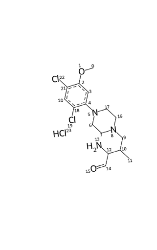 COc1cc(N2CCN(CC(C)C(N)C=O)CC2)c(Cl)cc1Cl.Cl